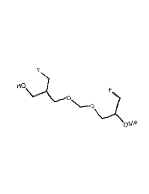 COC(CF)COCOCC(CO)CF